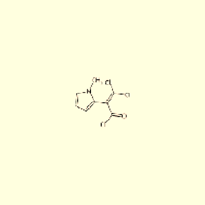 Cn1cccc1C(C(=O)Cl)=C(Cl)Cl